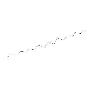 CCCCCCCCCCCCCCCCCCCCCCCCCOCCCC